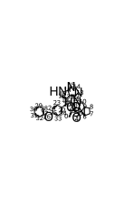 C=CS(=O)(=O)N1CCCC1CNc1ncnc2[nH]cc(C(=O)c3ccc(Oc4ccccc4)cc3)c12